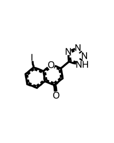 O=c1cc(-c2nnn[nH]2)oc2c(I)cccc12